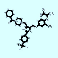 Cc1cc(SCc2sc(-c3ccc(C(F)(F)F)cc3)nc2CN2CCN(C(=O)C3CCCCC3)CC2)ccc1OC(C)C(=O)O